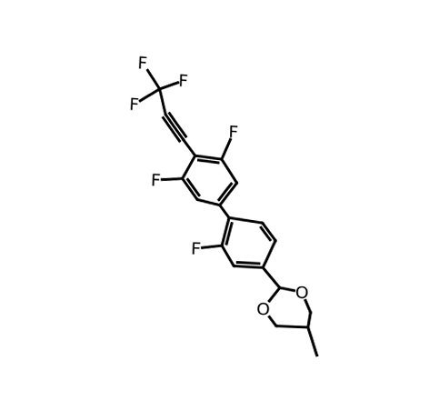 CC1COC(c2ccc(-c3cc(F)c(C#CC(F)(F)F)c(F)c3)c(F)c2)OC1